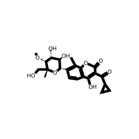 CO[C@@H]1[C@H](O)[C@@H](O)[C@H](c2ccc3c(O)c(C(=O)C4CC4)c(=O)oc3c2C)O[C@]1(C)CO